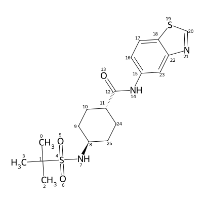 CC(C)(C)S(=O)(=O)N[C@H]1CC[C@H](C(=O)Nc2ccc3scnc3c2)CC1